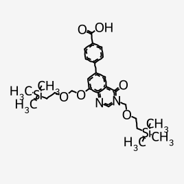 C[Si](C)(C)CCOCOc1cc(-c2ccc(C(=O)O)cc2)cc2c(=O)n(COCC[Si](C)(C)C)cnc12